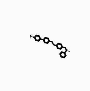 C[C@H](Cc1ccc(CCc2ccc(-c3ccc(F)cc3)cc2)cc1)c1ccccc1